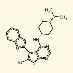 CCc1sc2ncnc(N[C@H]3CC[C@H](N(C)C)CC3)c2c1-c1cc2ccccc2o1